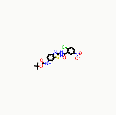 CC(C)(C)OC(=O)Nc1ccc2nc(NC(=O)c3cc([N+](=O)[O-])ccc3Cl)sc2c1